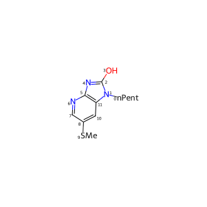 CCCCCn1c(O)nc2ncc(SC)cc21